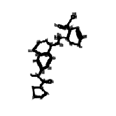 CN(C(=O)C1CCCC1)c1ccc2c(c1)CCC[C@H]2CNc1cnccc1C(=O)O